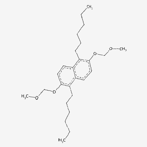 CCCCCCc1c(OCOC)ccc2c(CCCCCC)c(OCOC)ccc12